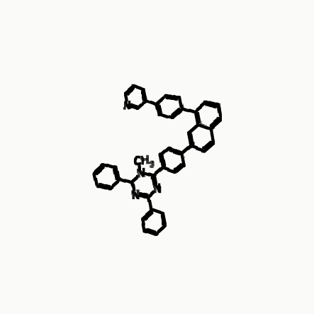 CN1C(c2ccc(-c3ccc4cccc(-c5ccc(-c6cccnc6)cc5)c4c3)cc2)=NC(c2ccccc2)=NC1c1ccccc1